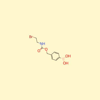 O=C(NCCBr)OCc1ccc(B(O)O)cc1